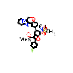 CNC(=O)c1c(-c2ccc(F)cc2)oc2cc(N(C)S(C)(=O)=O)c(-c3ccc4c(c3)-c3nc5ccccn5c3CCO4)cc12